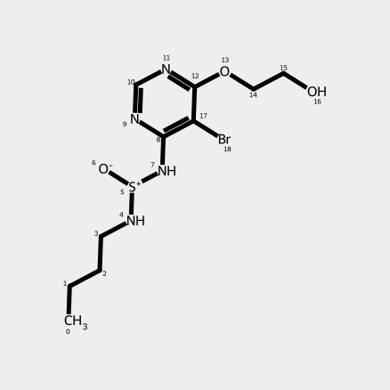 CCCCN[S+]([O-])Nc1ncnc(OCCO)c1Br